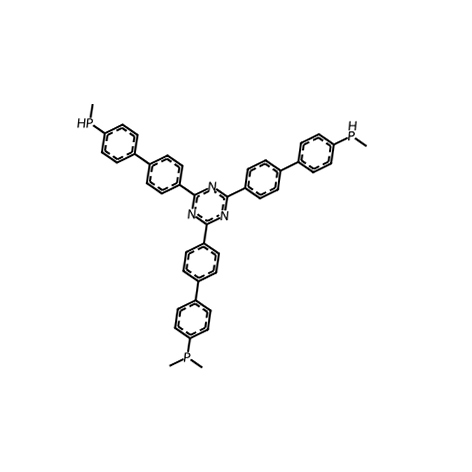 CPc1ccc(-c2ccc(-c3nc(-c4ccc(-c5ccc(PC)cc5)cc4)nc(-c4ccc(-c5ccc(P(C)C)cc5)cc4)n3)cc2)cc1